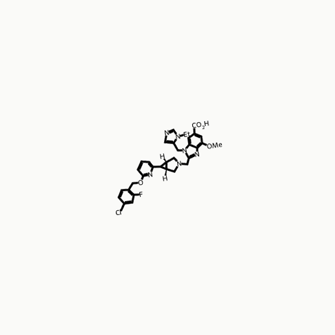 CCn1cncc1Cn1c(CN2C[C@@H]3C(c4cccc(OCc5ccc(Cl)cc5F)n4)[C@@H]3C2)nc2c(OC)cc(C(=O)O)cc21